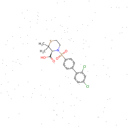 CC1(C)SCCN(S(=O)(=O)c2ccc(-c3ccc(Cl)cc3Cl)cc2)[C@H]1C(=O)O